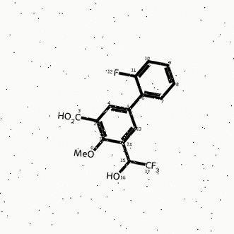 COc1c(C(=O)O)cc(-c2ccccc2F)cc1C(O)C(F)(F)F